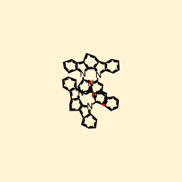 c1ccc(-c2cc(-n3c4ccccc4c4ccc5c6ccccc6n(-c6ccccc6)c5c43)nc(-n3c4ccccc4c4ccc5c6ccccc6n(-c6ccccc6)c5c43)n2)cc1